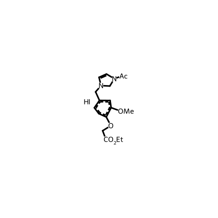 CCOC(=O)COc1ccc(CN2C=CN(C(C)=O)C2)cc1OC.I